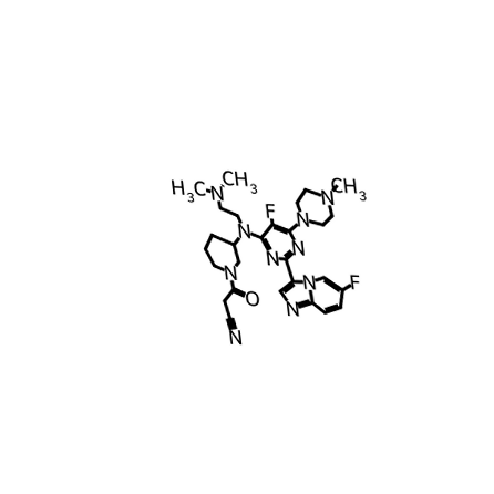 CN(C)CCN(c1nc(-c2cnc3ccc(F)cn23)nc(N2CCN(C)CC2)c1F)C1CCCN(C(=O)CC#N)C1